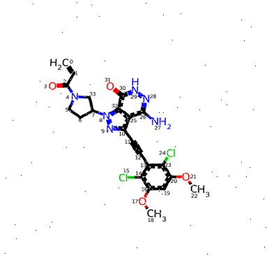 C=CC(=O)N1CCC(n2nc(C#Cc3c(Cl)c(OC)cc(OC)c3Cl)c3c(N)n[nH]c(=O)c32)C1